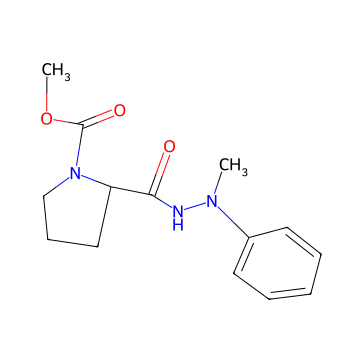 COC(=O)N1CCCC1C(=O)NN(C)c1ccccc1